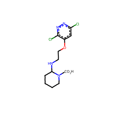 O=C(O)N1CCCCC1NCCOc1cc(Cl)nnc1Cl